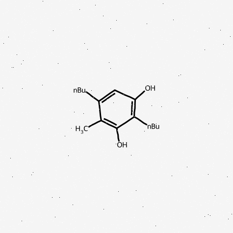 CCCCc1cc(O)c(CCCC)c(O)c1C